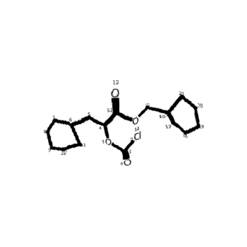 O=C(Cl)OC(CC1CCCCC1)C(=O)OCC1CCCCC1